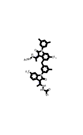 CCC(=O)NN/C(C)=C1\C(=O)N(c2cc(C)cc(Cc3cc(C(F)(F)F)cc4c3/C(=C(\C)NNC(C)=O)C(=O)N4c3cc(C)cc(C)c3)c2)c2cc(C(F)(F)F)ccc21